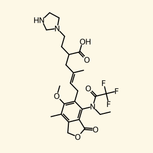 CCN(C(=O)C(F)(F)F)c1c(C/C=C(\C)CC(CCN2CCNC2)C(=O)O)c(OC)c(C)c2c1C(=O)OC2